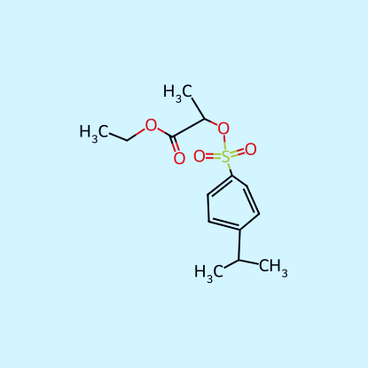 CCOC(=O)C(C)OS(=O)(=O)c1ccc(C(C)C)cc1